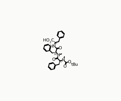 CN(C(=O)OC(C)(C)C)[C@@H](Cc1ccccc1)C(=O)N(C)[C@@H](Cc1ccccc1)C(=O)N[C@@H](Cc1ccccc1)C(=O)O